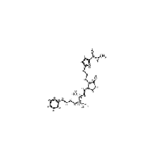 COC(=O)c1ccc(CCCN2C(=O)CCC2C=C[C@@H](O)[C@@H](C)CCCCc2ccccc2)s1